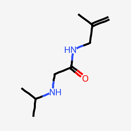 C=C(C)CNC(=O)CNC(C)C